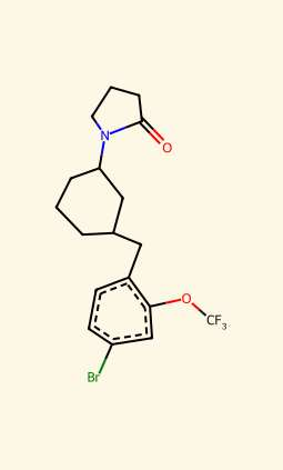 O=C1CCCN1C1CCCC(Cc2ccc(Br)cc2OC(F)(F)F)C1